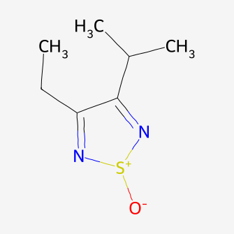 CCc1n[s+]([O-])nc1C(C)C